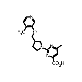 Cc1cc(C(=O)O)nc(N2CCC(COc3cnccc3C(F)(F)F)C2)n1